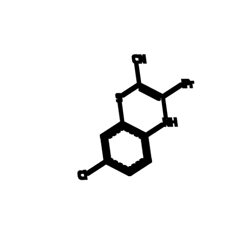 CC(C)C1=C(C#N)Sc2cc(Cl)ccc2N1